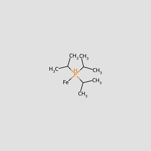 CC(C)[PH]([Fe])(C(C)C)C(C)C